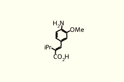 COc1cc(C=C(C(=O)O)C(C)C)ccc1N